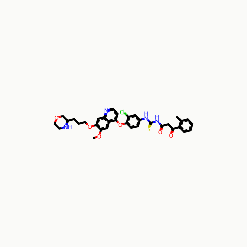 COc1cc2c(Oc3ccc(NC(=S)NC(=O)CC(=O)c4ccccc4C)cc3Cl)ccnc2cc1OCCCC1COCCN1